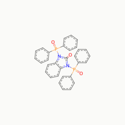 O=c1n(P(=O)(c2ccccc2)c2ccccc2)c2ccccc2n1P(=O)(c1ccccc1)c1ccccc1